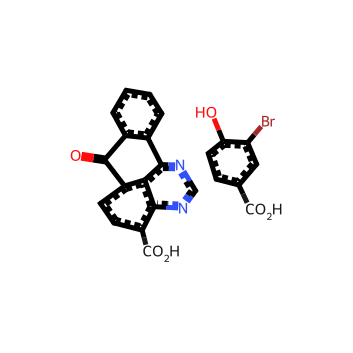 O=C(O)c1ccc(O)c(Br)c1.O=C(O)c1ccc2c3c(ncnc13)-c1ccccc1C2=O